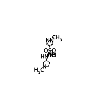 CN1CC[C@H](NNS(=O)(=O)c2cnn(C)c2)C1.Cl